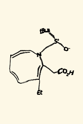 CCC1=C(C(=O)O)N([S+]([O-])C(C)(C)C)C=CC=C1